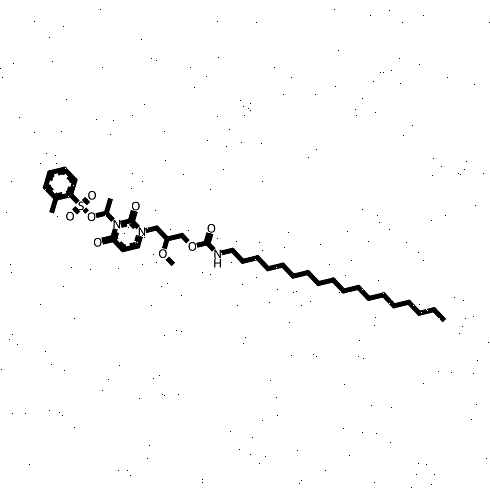 CCCCCCCCCCCCCCCCCCNC(=O)OCC(Cn1ccc(=O)n(C(C)OS(=O)(=O)c2ccccc2C)c1=O)OC